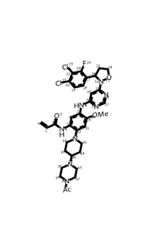 C=CC(=O)Nc1cc(Nc2cc(N3OCCC3c3ccc(Cl)c(Cl)c3F)ncn2)c(OC)cc1N1CCC(N2CCN(C(C)=O)CC2)CC1